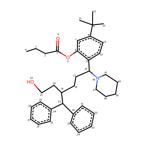 CCCC(=O)Oc1cc(C(C)(C)C)ccc1C(CCC(CCO)C(c1ccccc1)c1ccccc1)N1CCCCC1